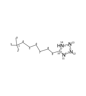 CC(C)(C)CCCCCCc1nnn[nH]1